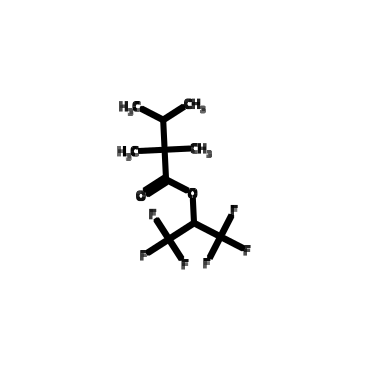 CC(C)C(C)(C)C(=O)OC(C(F)(F)F)C(F)(F)F